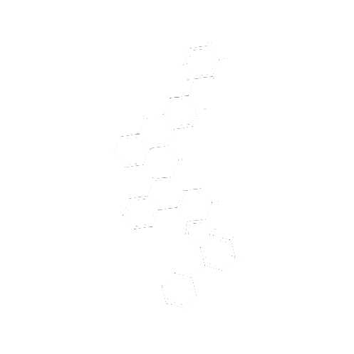 Nc1ccccc1/C(=C\CNc1ccccc1C1=CCCc2c1sc1c(-c3ccccc3)cccc21)c1ccc(-c2ccccc2)cc1